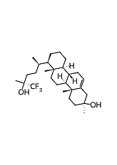 C[C@H](CC[C@](C)(O)C(F)(F)F)[C@H]1CCC[C@H]2[C@@H]3CC=C4C[C@@](C)(O)CC[C@]4(C)[C@H]3CC[C@]12C